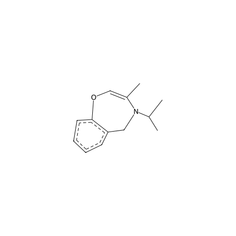 CC1=COc2ccccc2CN1C(C)C